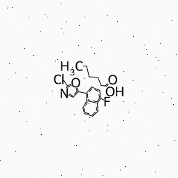 CCCCCC(=O)O.Fc1ccc(-c2cnc(Cl)o2)c2ccccc12